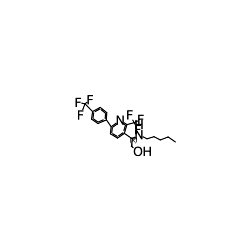 CCCCCN[C@@H](CO)c1ccc(-c2ccc(C(F)(F)F)cc2)nc1C(F)(F)F